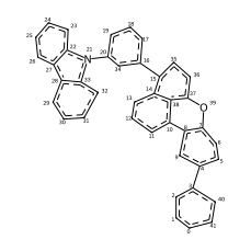 c1ccc(-c2ccc3c(c2)-c2cccc4c(-c5cccc(-n6c7ccccc7c7ccccc76)c5)ccc(c24)O3)cc1